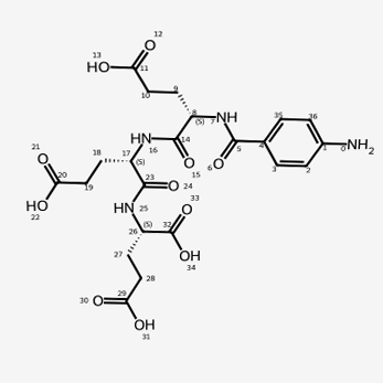 Nc1ccc(C(=O)N[C@@H](CCC(=O)O)C(=O)N[C@@H](CCC(=O)O)C(=O)N[C@@H](CCC(=O)O)C(=O)O)cc1